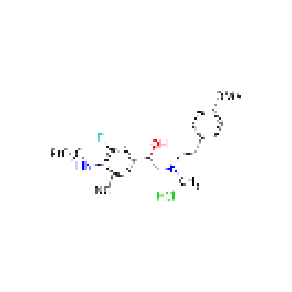 CCOC(=O)Nc1c(F)cc(C(O)CN(C)CCc2ccc(OC)cc2)cc1C#N.Cl